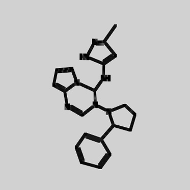 Cc1cc(NC2N(N3CCCC3c3ccccc3)C=Nc3cccn32)[nH]n1